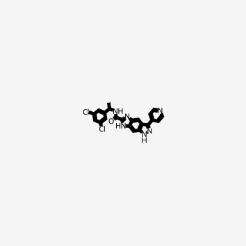 CC(NC(=O)c1nc2cc3c(-c4ccncc4)n[nH]c3cc2[nH]1)c1cc(Cl)cc(Cl)c1